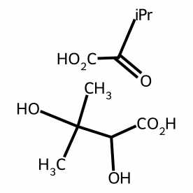 CC(C)(O)C(O)C(=O)O.CC(C)C(=O)C(=O)O